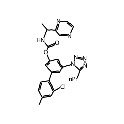 CCCc1nnnn1-c1cc(OC(=O)NC(C)c2cnccn2)cc(-c2ccc(C)cc2Cl)c1